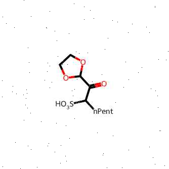 CCCCCC(C(=O)C1OCCO1)S(=O)(=O)O